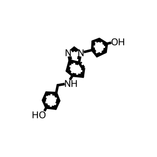 Oc1ccc(CNc2ccc3c(c2)ncn3-c2ccc(O)cc2)cc1